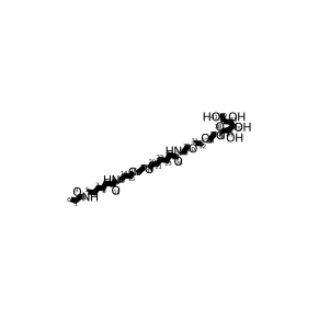 CCC(=O)NCCCCCC(=O)NCCCOCCOCCCCCC(=O)NCCOCCOCCO[C@H]1OC(CO)[C@@H](O)[C@H](O)C1O